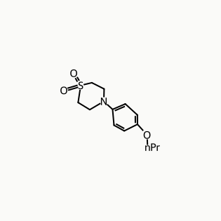 CCCOc1ccc(N2CCS(=O)(=O)CC2)cc1